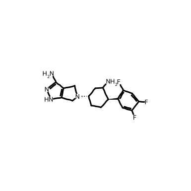 Nc1n[nH]c2c1CN([C@H]1CC[C@H](c3cc(F)c(F)cc3F)C(N)C1)C2